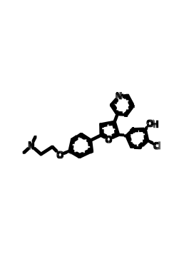 CN(C)CCOc1ccc(-c2cc(-c3cccnc3)c(-c3ccc(Cl)c(O)c3)o2)cc1